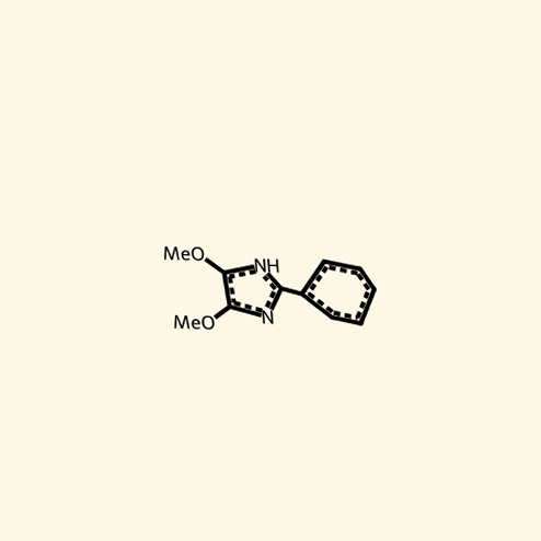 COc1nc(-c2ccccc2)[nH]c1OC